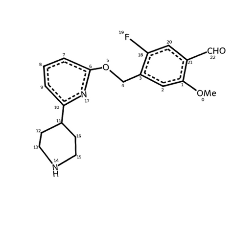 COc1cc(COc2cccc(C3CCNCC3)n2)c(F)cc1C=O